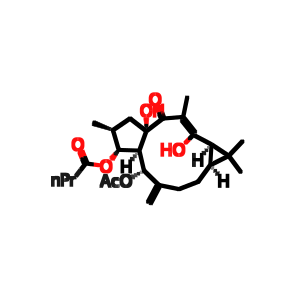 C=C1CC[C@H]2[C@@H](/C(O)=C(\C)C(=O)[C@@]3(O)C[C@H](C)[C@H](OC(=O)CCC)[C@@H]3[C@H]1OC(C)=O)C2(C)C